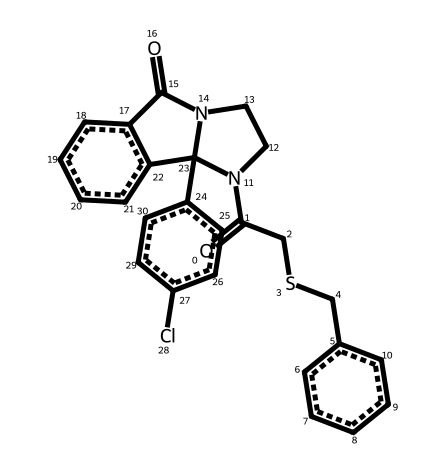 O=C(CSCc1ccccc1)N1CCN2C(=O)c3ccccc3C12c1ccc(Cl)cc1